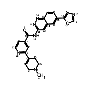 CN1CC=C(c2cc(C(=O)Nc3cc4cc(-c5cnco5)ccc4nn3)ccn2)CC1